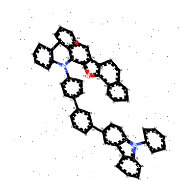 c1ccc(-c2ccccc2N(c2ccc(-c3cccc(-c4ccc5c(c4)c4ccccc4n5-c4ccccc4)c3)cc2)c2cccc3c2oc2c4ccccc4ccc32)cc1